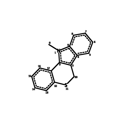 Cn1c2c(c3ccccc31)CSc1ccccc1-2